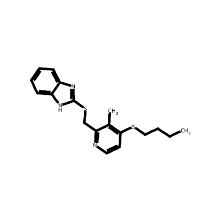 CCCCSc1ccnc(CSc2nc3ccccc3[nH]2)c1C